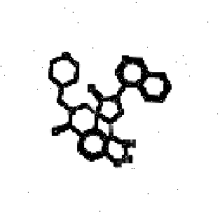 CCNC[C@H]1CN(c2cncc3ccccc23)C(=O)[C@@]12CN(CC1CCOCC1)C(=O)c1ccc(Cl)cc12